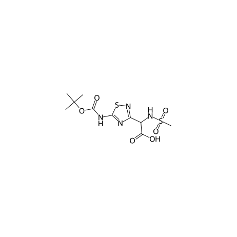 CC(C)(C)OC(=O)Nc1nc(C(NS(C)(=O)=O)C(=O)O)ns1